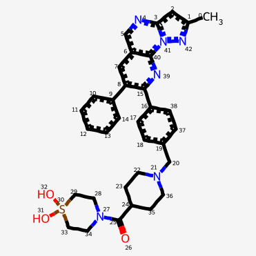 Cc1cc2ncc3cc(-c4ccccc4)c(-c4ccc(CN5CCC(C(=O)N6CCS(O)(O)CC6)CC5)cc4)nc3n2n1